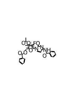 CC(=O)O[C@@]1(C)[C@@H](COC(=O)c2ccccc2)O[C@H](n2ccc(NC(=O)c3ccccc3)nc2=O)[C@]1(C)F